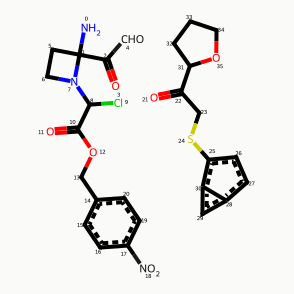 NC1(C(=O)C=O)CCN1C(Cl)C(=O)OCc1ccc([N+](=O)[O-])cc1.O=C(CSc1ccc2cc1-2)C1CCCO1